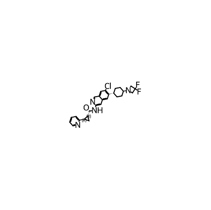 O=C(Nc1cc2cc([C@H]3CC[C@H](N4CC(F)(F)C4)CC3)c(Cl)cc2cn1)[C@@H]1C[C@H]1c1ccccn1